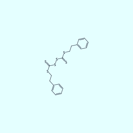 S=C(SCCc1ccccc1)SSC(=S)SCCc1ccccc1